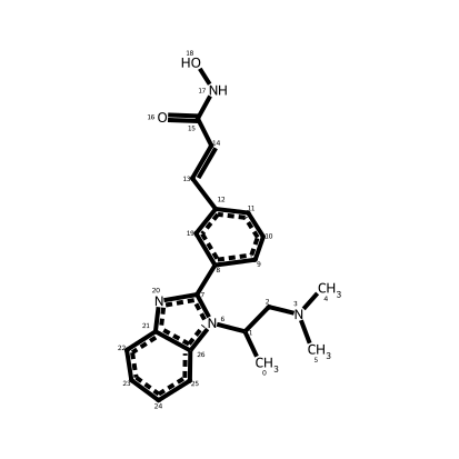 CC(CN(C)C)n1c(-c2cccc(C=CC(=O)NO)c2)nc2ccccc21